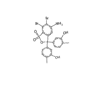 Cc1ccc(C2(c3ccc(C)c(O)c3)OS(=O)(=O)c3c2cc(N)c(Br)c3Br)cc1O